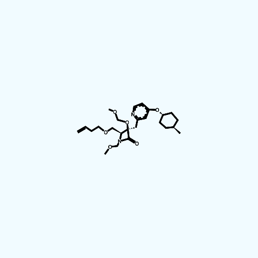 C=CCCOC[C@@H]1N(COC)C(=O)[C@]1(Cc1cc(O[C@H]2CC[C@H](C)CC2)ccn1)OCOC